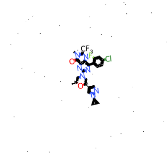 C[C@H]1CN(c2nc(-c3ccc(Cl)cc3F)c3nc(C(F)(F)F)n(C)c(=O)c3n2)C[C@H](c2cnn(C3CC3)c2)O1